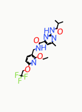 CCOc1nc(OCC(F)(F)F)ccc1CNC(=O)c1cc(C)nc(NC(=O)C(C)C)n1